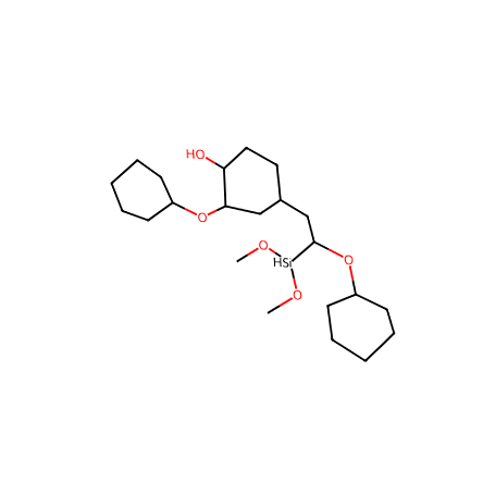 CO[SiH](OC)C(CC1CCC(O)C(OC2CCCCC2)C1)OC1CCCCC1